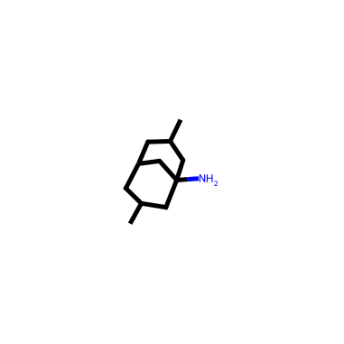 CC1CC2CC(C)CC(N)(C1)C2